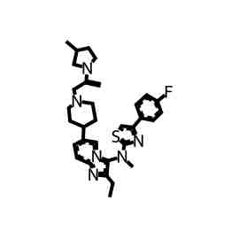 C=C(CN1CCC(c2ccc3nc(CC)c(N(C)c4nc(-c5ccc(F)cc5)cs4)n3c2)CC1)N1CCC(C)C1